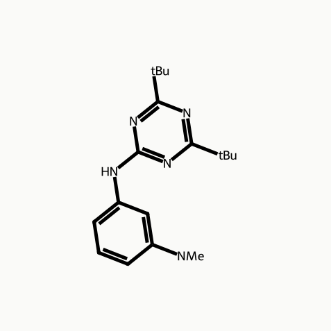 CNc1cccc(Nc2nc(C(C)(C)C)nc(C(C)(C)C)n2)c1